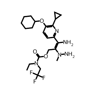 CCN(CC(F)(F)F)C(=O)OC/C(=C(/N)c1ccc(OC2CCCCC2)c(C2CC2)n1)N(C)N